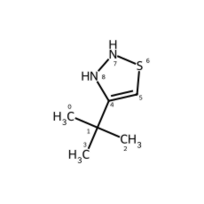 CC(C)(C)C1=CSNN1